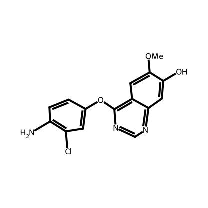 COc1cc2c(Oc3ccc(N)c(Cl)c3)ncnc2cc1O